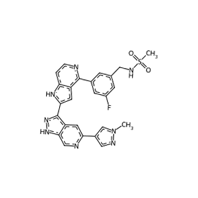 Cn1cc(-c2cc3c(-c4cc5c(-c6cc(F)cc(CNS(C)(=O)=O)c6)nccc5[nH]4)n[nH]c3cn2)cn1